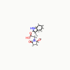 O=C(O)[C@H](Cc1c[nH]c2ccccc12)N1C(=O)CCC1=O